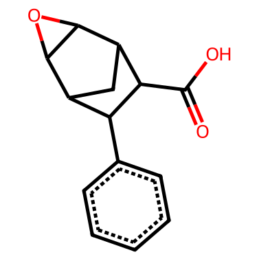 O=C(O)C1C2CC(C3OC23)C1c1ccccc1